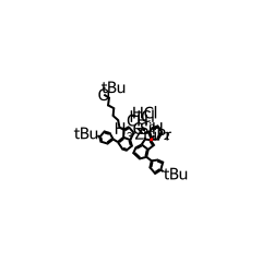 CC1=C(CCCCCCOC(C)(C)C)c2c(-c3ccc(C(C)(C)C)cc3)cccc2[CH]1[Zr]([CH3])(=[SiH2])([c]1ccccc1)[CH]1C(C(C)C)=Cc2c(-c3ccc(C(C)(C)C)cc3)cccc21.Cl.Cl